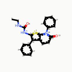 CCNC(=O)Nc1sc2c(ccc(=O)n2-c2ccccc2)c1-c1ccccc1